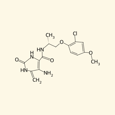 C=C1NC(=O)NC(C(=O)N[C@H](C)COc2ccc(OC)cc2Cl)=C1N